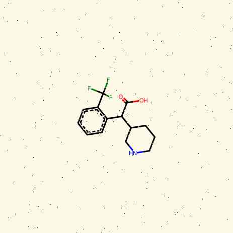 O=C(O)C(c1ccccc1C(F)(F)F)C1CCCNC1